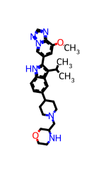 COc1cc(-c2[nH]c3ccc(C4CCN(CC5COCCN5)CC4)cc3c2C(C)C)cn2ncnc12